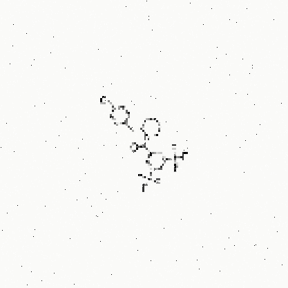 O=C(c1cc(C(F)(F)F)cc(C(F)(F)F)c1)N1CCCCC1Cc1ccc(Cl)cc1